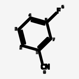 N#Cc1[c]ccc(F)c1